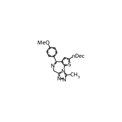 CCCCCCCCCCc1cc2c(s1)-n1c(C)nnc1CN=C2c1ccc(OC)cc1